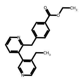 CCOC(=O)c1ccc(Cc2ncccc2-c2cnccc2CC)cc1